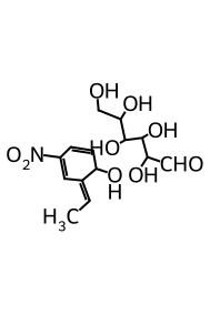 CC=C1C=C([N+](=O)[O-])C=CC1O.O=CC(O)C(O)C(O)C(O)CO